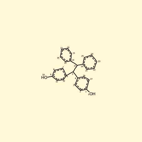 Oc1ccc(C(c2ccc(O)cc2)C(c2ccccc2)c2ccccc2)cc1